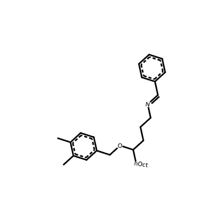 CCCCCCCCC(CCCN=Cc1ccccc1)OCc1ccc(C)c(C)c1